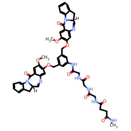 CNC(=O)CCC(=O)NCC(=O)NCC(=O)NCC(=O)Nc1cc(COc2cc3c(cc2OC)C(=O)N2c4ccccc4C[C@H]2C=N3)cc(COc2cc3c(cc2OC)C(=O)N2c4ccccc4C[C@H]2C=N3)c1